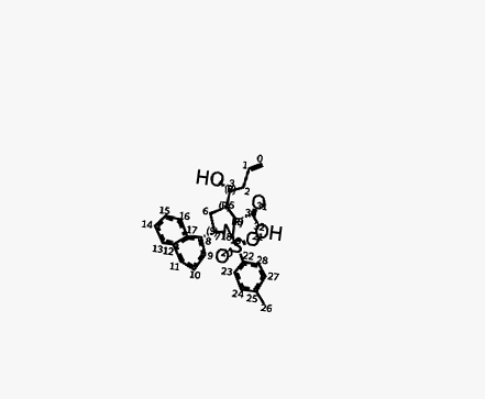 C=CC[C@@H](O)[C@@H]1C[C@@H](c2cccc3ccccc23)N(S(=O)(=O)c2ccc(C)cc2)[C@H]1C(=O)O